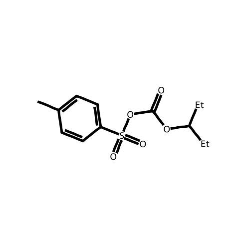 CCC(CC)OC(=O)OS(=O)(=O)c1ccc(C)cc1